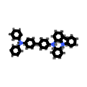 c1ccc(N(c2ccccc2)c2ccc(-c3ccc(N4c5ccccc5-n5c6ccccc6c6cccc4c65)cc3)cc2)cc1